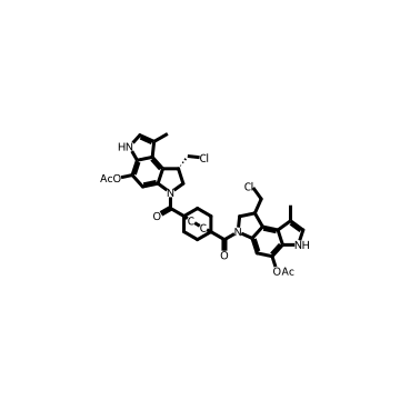 CC(=O)Oc1cc2c(c3c(C)c[nH]c13)C(CCl)CN2C(=O)C12CCC(C(=O)N3C[C@@H](CCl)c4c3cc(OC(C)=O)c3[nH]cc(C)c43)(CC1)CC2